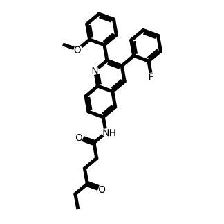 CCC(=O)CCC(=O)Nc1ccc2nc(-c3ccccc3OC)c(-c3ccccc3F)cc2c1